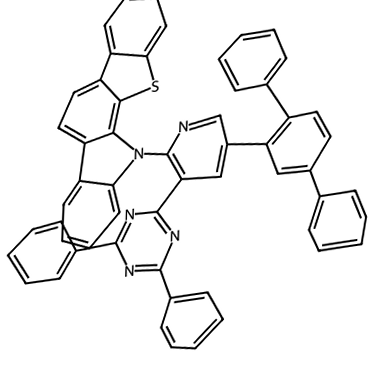 c1ccc(-c2ccc(-c3ccccc3)c(-c3cnc(-n4c5ccccc5c5ccc6c7ccccc7sc6c54)c(-c4nc(-c5ccccc5)nc(-c5ccccc5)n4)c3)c2)cc1